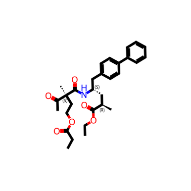 CCOC(=O)[C@H](C)C[C@@H](Cc1ccc(-c2ccccc2)cc1)NC(=O)[C@@](C)(CCOC(=O)CC)C(C)=O